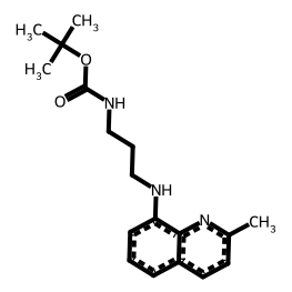 Cc1ccc2cccc(NCCCNC(=O)OC(C)(C)C)c2n1